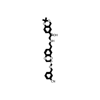 CC1(C)OCc2cc([C@@H](O)CNCCc3ccc4c(c3)O[C@H](COCc3cccc(C#N)c3)CO4)ccc2O1